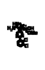 COC[C@](C)(O)NC1(C)CNC(N)C1N1C=NC(c2cccc(Cl)c2Cl)=NC1